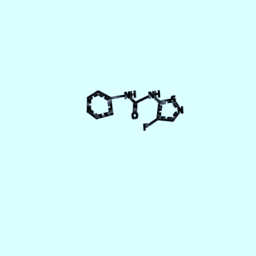 O=C(Nc1ccccc1)Nc1sncc1F